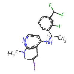 C[C@@H](Nc1ccnc2c1C=C(I)CN2C)c1cccc(C(F)F)c1F